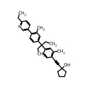 CCc1ccc(-c2ccc(C(CC)(CC)c3ccc(C#CC4(O)CCCC4)c(C)c3)cc2C)cn1